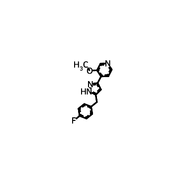 COc1cnccc1-c1cc(Cc2ccc(F)cc2)[nH]n1